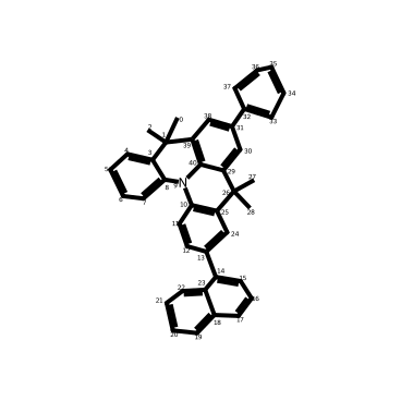 CC1(C)c2ccccc2N2c3ccc(-c4cccc5ccccc45)cc3C(C)(C)c3cc(-c4ccccc4)cc1c32